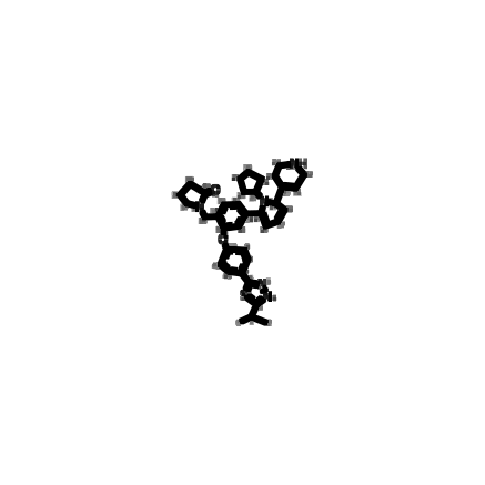 CC(C)c1nnc(-c2ccc(Oc3cc(C4=CC=CC(C5=CCNCC5)N4C4CCCC4)ccc3CN3CCCC3=O)cc2)s1